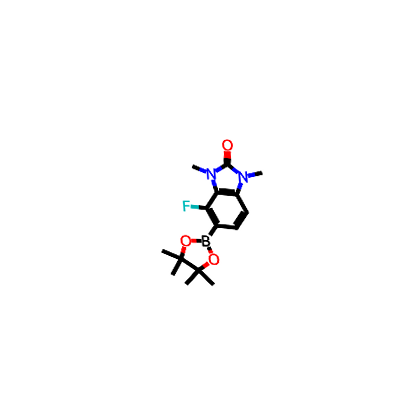 Cn1c(=O)n(C)c2c(F)c(B3OC(C)(C)C(C)(C)O3)ccc21